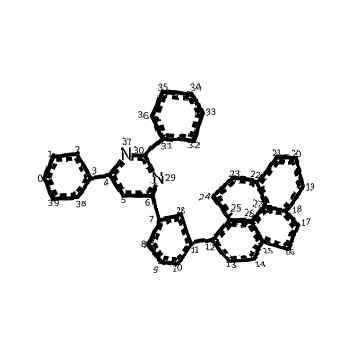 c1ccc(-c2cc(-c3cccc(-c4ccc5ccc6cccc7ccc4c5c67)c3)nc(-c3ccccc3)n2)cc1